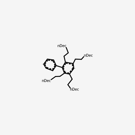 CCCCCCCCCCCCc1[c]c(CCCCCCCCCCCC)c(CCCCCCCCCCCC)c(-c2cc[c]cc2)c1CCCCCCCCCCCC